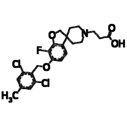 Cc1cc(Cl)c(COc2ccc3c(c2F)OCC32CCN(CCC(=O)O)CC2)c(Cl)c1